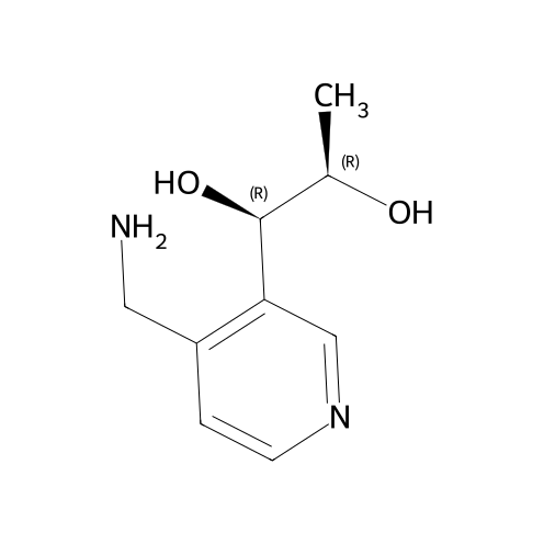 C[C@@H](O)[C@H](O)c1cnccc1CN